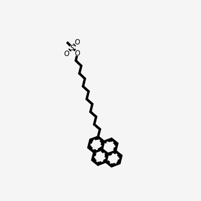 CS(=O)(=O)OCCCCCCCCCCCCc1ccc2ccc3cccc4ccc1c2c34